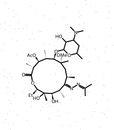 CC[C@H]1OC(=O)[C@H](C)[C@@H](OC(C)=O)[C@H](C)[C@@H](OC2OC(C)CC(N(C)C)C2O)[C@](C)(OC)C[C@@H](C)/C(=N\N=C(C)C)[C@H](C)[C@@H](O)[C@]1(C)O